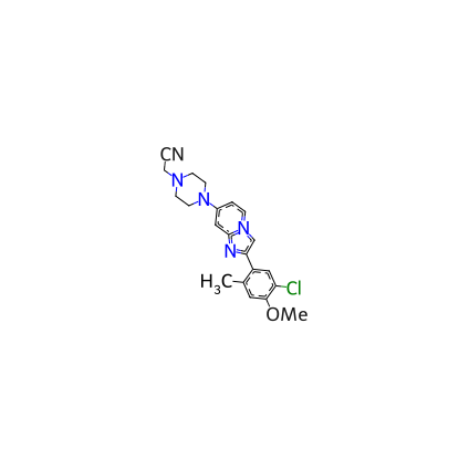 COc1cc(C)c(-c2cn3ccc(N4CCN(CC#N)CC4)cc3n2)cc1Cl